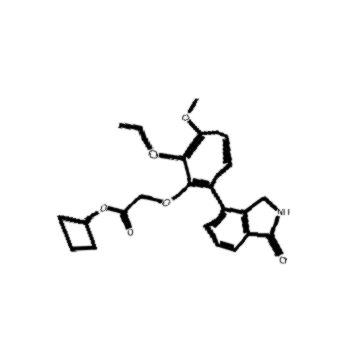 CCOc1c(OC)ccc(-c2cccc3c2CNC3=O)c1OCC(=O)OC1CCC1